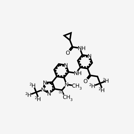 [2H]C([2H])([2H])CC(=O)c1cnc(NC(=O)C2CC2)cc1Nc1nccc2c1N(C)[C@@H](C)c1nn(C([2H])([2H])[2H])nc1-2